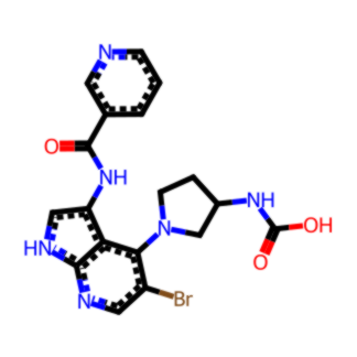 O=C(O)NC1CCN(c2c(Br)cnc3[nH]cc(NC(=O)c4cccnc4)c23)C1